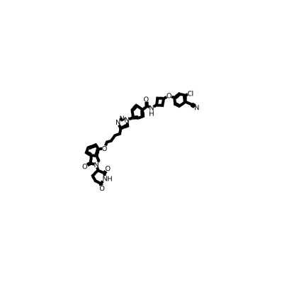 N#Cc1ccc(OC2CC(NC(=O)c3ccc(-n4cc(CCCCOc5cccc6c5CN(C5CCC(=O)NC5=O)C6=O)nn4)cc3)C2)cc1Cl